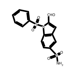 NS(=O)(=O)c1ccc2c(c1)cc(C=O)n2S(=O)(=O)c1ccccc1